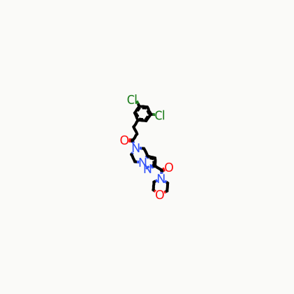 O=C(CCc1cc(Cl)cc(Cl)c1)N1CCn2nc(C(=O)N3CCOCC3)cc2C1